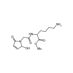 CC(C)(C)OC(=O)C(CCCCN)NC(=O)CN1C(=O)C=CC1O